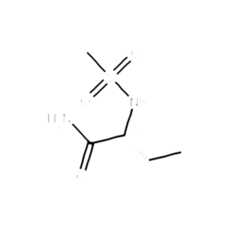 CC[C@@H](NS(C)(=O)=O)C(N)=O